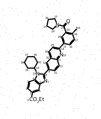 CCOC(=O)c1ccc2c(c1)nc(-c1ccc3nc(-c4ccc(I)c(C(=O)N5CCCC5)c4)ccc3c1)n2C1CCCCC1